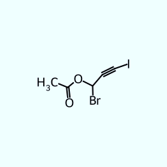 CC(=O)OC(Br)C#CI